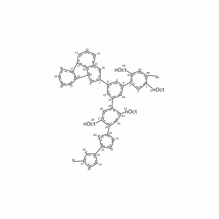 CCCCCCCCc1cc(-c2cc(-c3cc4c5c(cccc5c3)-c3ccccc3-4)cc(-c3cc(CCCCCCCC)c(-c4ccc(-c5ccc(C)s5)s4)cc3CCCCCCCC)c2)c(CCCCCCCC)cc1C